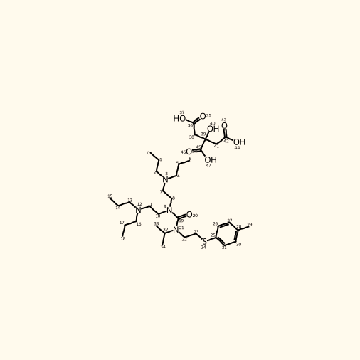 CCCN(CCC)CCN(CCN(CCC)CCC)C(=O)N(CCSc1ccc(C)cc1)C(C)C.O=C(O)CC(O)(CC(=O)O)C(=O)O